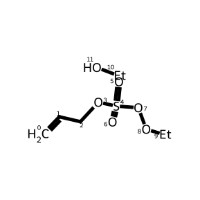 C=CCOS(=O)(=O)OOCC.CCO